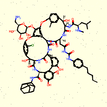 CCCCCc1ccc(NC(=O)NC(=O)C[C@@H]2NC(=O)[C@H](NC(=O)[C@@H](CC(C)C)NC)[C@H](O)c3ccc(c(C)c3)Oc3cc4cc(c3O[C@@H]3O[C@H](CN)[C@@H](O)[C@H](O)[C@H]3O)Oc3ccc(cc3Cl)[C@@H](O)[C@@H]3NC(=O)[C@H](NC(=O)[C@@H]4NC2=O)c2ccc(O)c(c2)-c2c(O)cc(O)cc2[C@@H](C(=O)NC2C4CC5CC(C4)CC2C5)NC3=O)cc1